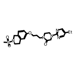 CCc1cnc(N2CCN(CCCOc3ccc4c(c3)CCN(S(C)(=O)=O)C4)C(=O)C2)nc1